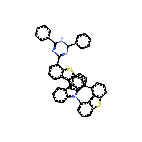 c1ccc(C2=NC(c3cccc4c3sc3cc(-c5cccc6sc7cccc(-n8c9ccccc9c9ccccc98)c7c56)ccc34)=NC(c3ccccc3)N2)cc1